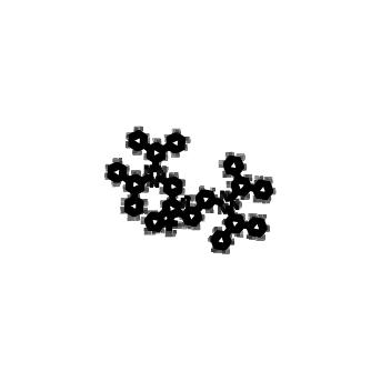 Cn1c2c(-c3cccc(-c4nc(-c5cc(-c6ccccc6)cc(-c6ccccc6)c5)nc(-c5cc(-c6ccccc6)cc(-c6ccccc6)c5)n4)c3)cccc2c2c3c(cc(-c4cccc(-c5nc(-c6cc(-c7ccccc7)cc(-c7ccccc7)c6)nc(-c6cc(-c7ccccc7)cc(-c7ccccc7)c6)n5)c4)c21)-c1ccccc1C3(C)C